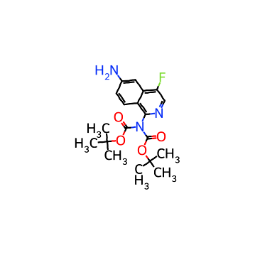 CC(C)(C)OC(=O)N(C(=O)OC(C)(C)C)c1ncc(F)c2cc(N)ccc12